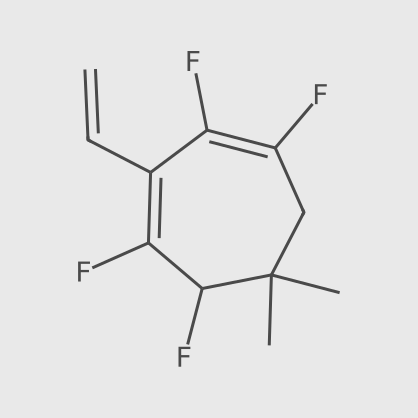 C=CC1=C(F)C(F)C(C)(C)CC(F)=C1F